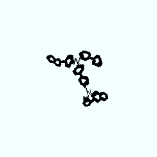 c1ccc(-c2cccc(N(c3ccc(-c4ccc(-n5c6ccccc6c6cc7ccccc7cc65)cc4)cc3)c3ccc(-c4ccc5ccccc5c4)cc3)c2)cc1